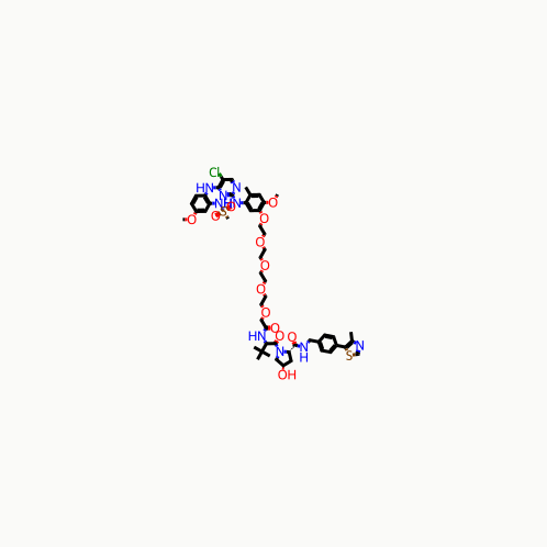 COc1ccc(Nc2nc(Nc3cc(OCCOCCOCCOCCOCC(=O)NC(C(=O)N4C[C@H](O)C[C@H]4C(=O)NCc4ccc(-c5scnc5C)cc4)C(C)(C)C)c(OC)cc3C)ncc2Cl)c(NS(C)(=O)=O)c1